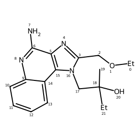 CCOCc1nc2c(N)nc3ccccc3c2n1CC(C)(O)CC